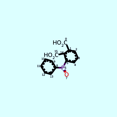 O=C(O)c1cccc([P](=O)c2ccccc2)c1C(=O)O